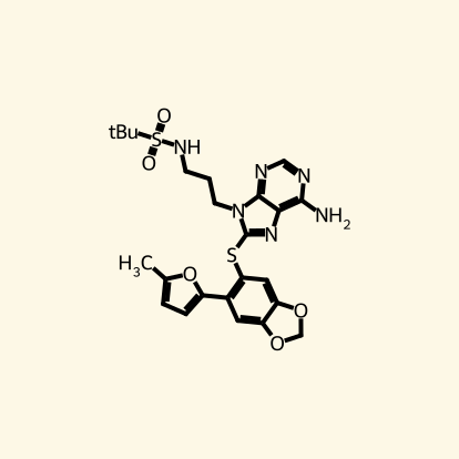 Cc1ccc(-c2cc3c(cc2Sc2nc4c(N)ncnc4n2CCCNS(=O)(=O)C(C)(C)C)OCO3)o1